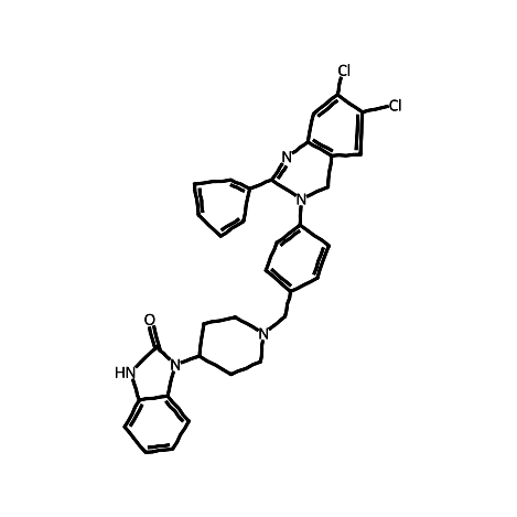 O=c1[nH]c2ccccc2n1C1CCN(Cc2ccc(N3Cc4cc(Cl)c(Cl)cc4N=C3c3ccccc3)cc2)CC1